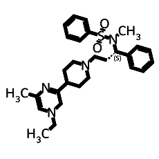 CCN1C=C(C)N=C(C2CCN(CC[C@@H](c3ccccc3)N(C)S(=O)(=O)c3ccccc3)CC2)C1